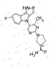 Cc1nc(N2CC[C@@H](C(N)=O)C2)ncc1-n1c2ccc(F)cc2c2[nH]ncc21